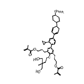 C=C(C)C(=O)OCCCc1cc(-c2ccc(C3=CCC(C4CCC(CCCCC)CC4)C=C3)cc2C2CC2)cc(CCCOC(=O)C(=C)C)c1OCCC(C)(CO)CO